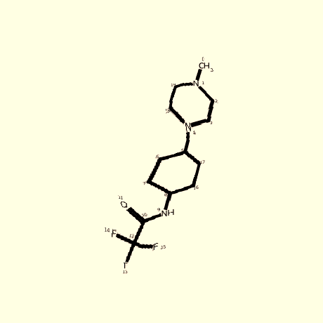 CN1CCN(C2CCC(NC(=O)C(F)(F)F)CC2)CC1